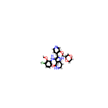 COc1c(F)cccc1Nc1c(-c2ccncc2OC[C@H]2COCCO2)[nH]c2c1C(=O)NCC2